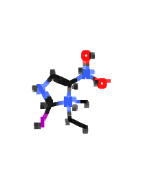 CC[N+]1(C)C([N+](=O)[O-])=CN=C1I